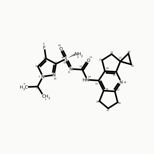 CC(C)n1cc(F)c([S@@](N)(=O)=NC(=O)Nc2c3c(nc4c2CCC42CC2)CCC3)n1